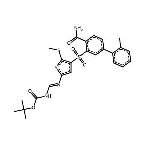 CSc1sc(N=CNC(=O)OC(C)(C)C)cc1S(=O)(=O)c1cc(-c2ccccc2C)ccc1C(N)=O